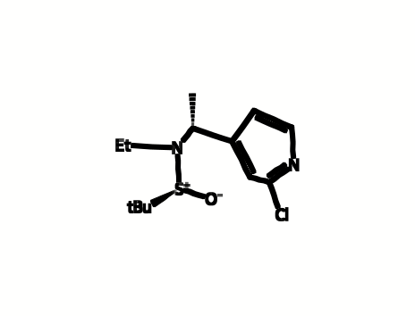 CCN([C@H](C)c1ccnc(Cl)c1)[S@@+]([O-])C(C)(C)C